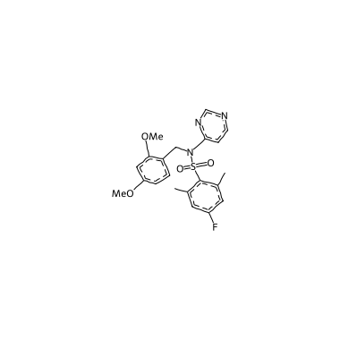 COc1ccc(CN(c2ccncn2)S(=O)(=O)c2c(C)cc(F)cc2C)c(OC)c1